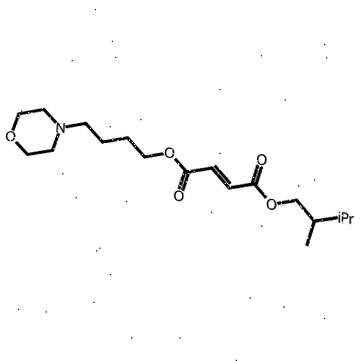 CC(C)C(C)COC(=O)/C=C/C(=O)OCCCCN1CCOCC1